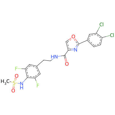 CS(=O)(=O)Nc1c(F)cc(CCNC(=O)c2coc(-c3ccc(Cl)c(Cl)c3)n2)cc1F